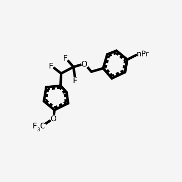 CCCc1ccc(COC(F)(F)C(F)c2ccc(OC(F)(F)F)cc2)cc1